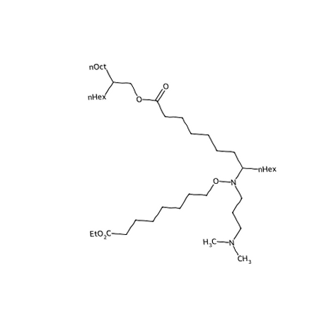 CCCCCCCCC(CCCCCC)COC(=O)CCCCCCC(CCCCCC)N(CCCN(C)C)OCCCCCCCC(=O)OCC